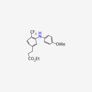 CCOC(=O)CCc1ccc(C(F)(F)F)c(Nc2ccc(OC)cc2)c1